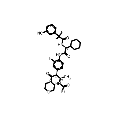 CCC(=O)N[C@H](C)[C@@H](C(=O)N1CCOCC1)c1ccc(NC(=O)[C@@H](NC(=O)C(F)(F)c2cccc(C#N)c2)C2CCCCC2)c(F)c1